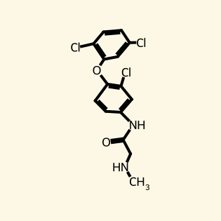 CNCC(=O)Nc1ccc(Oc2cc(Cl)ccc2Cl)c(Cl)c1